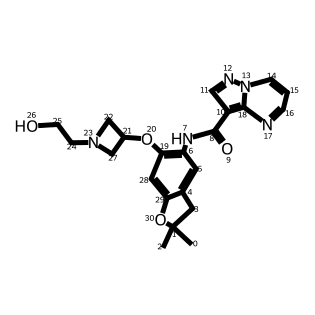 CC1(C)Cc2cc(NC(=O)c3cnn4cccnc34)c(OC3CN(CCO)C3)cc2O1